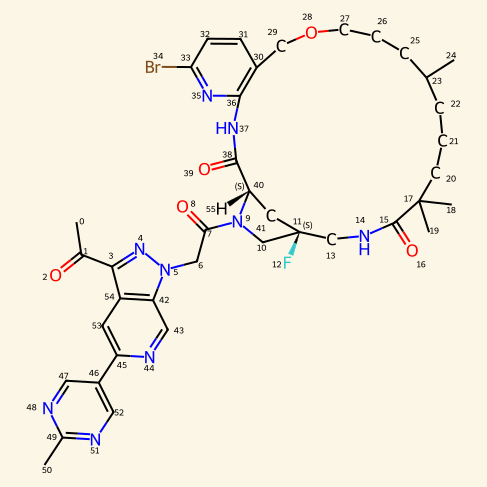 CC(=O)c1nn(CC(=O)N2C[C@@]3(F)CNC(=O)C(C)(C)CCCC(C)CCCOCc4ccc(Br)nc4NC(=O)[C@@H]2C3)c2cnc(-c3cnc(C)nc3)cc12